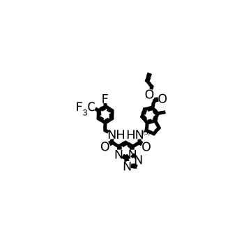 C=CCOC(=O)c1ccc2c(c1C)CC[C@@H]2NC(=O)c1cc(C(=O)NCc2ccc(F)c(C(F)(F)F)c2)nc2ncnn12